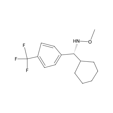 CON[C@@H](c1ccc(C(F)(F)F)cc1)C1CCCCC1